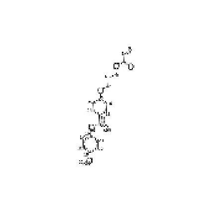 C=CC(=O)OCCCOc1ccc(C(=O)Oc2ccc(OC)cc2)cc1